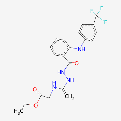 C=C(NCC(=O)OCC)NNC(=O)c1ccccc1Nc1ccc(C(F)(F)F)cc1